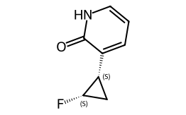 O=c1[nH]cccc1[C@@H]1C[C@@H]1F